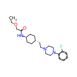 CCOCC(=O)N[C@H]1CC[C@H](CCN2CCN(c3ccccc3F)CC2)CC1